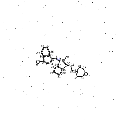 COc1ccc(/C=C2/C(C)=C(CCN3CCOCC3)c3ccccc32)c2ccccc12